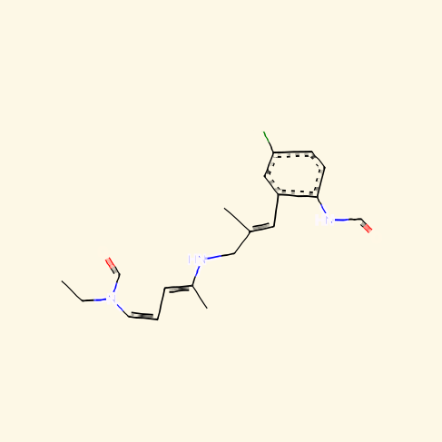 CCN(C=O)/C=C\C=C(/C)NC/C(C)=C/c1cc(Cl)ccc1NC=O